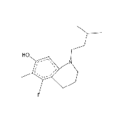 Cc1c(O)cc2c(c1F)CCCN2CCC(C)C